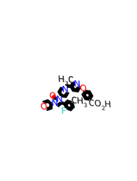 Cc1ccc(F)c(C2CN(C3CCOCC3)C(=O)N2C2CCN(Cc3ccc(Oc4ccc(C(=O)O)cc4)nc3C)CC2)c1